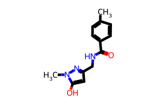 Cc1ccc(C(=O)NCc2cc(O)n(C)n2)cc1